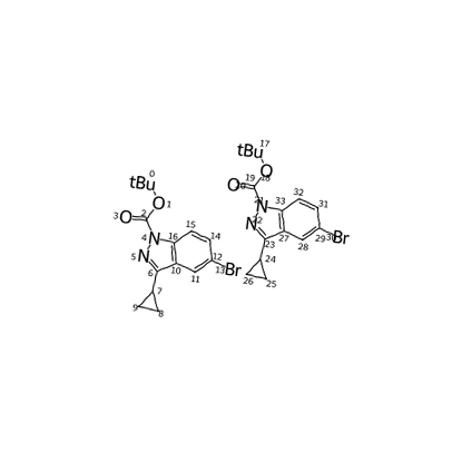 CC(C)(C)OC(=O)n1nc(C2CC2)c2cc(Br)ccc21.CC(C)(C)OC(=O)n1nc(C2CC2)c2cc(Br)ccc21